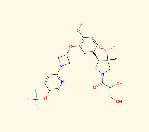 COc1ccc([C@@H]2CN(C(=O)C(O)CO)C[C@@]2(C)[C@@H](C)O)cc1OC1CN(c2ccc(OC(F)(F)F)cn2)C1